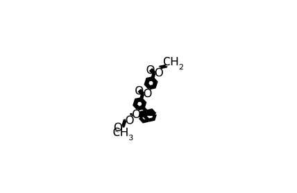 C=CCOC(=O)c1ccc(OC(=O)c2ccc(OCOCCOC)c(C34CC5CC(CC(C5)C3)C4)c2)cc1